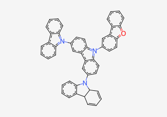 C1=CC2c3ccccc3N(c3ccc4c(c3)c3cc(-n5c6ccccc6c6ccccc65)ccc3n4-c3ccc4oc5ccccc5c4c3)C2C=C1